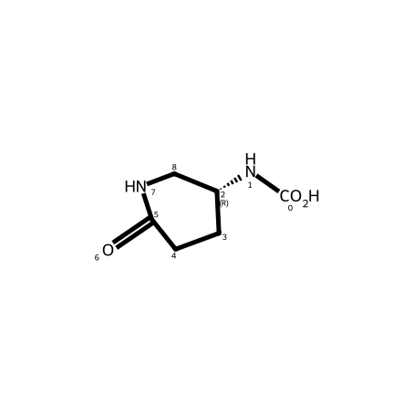 O=C(O)N[C@@H]1CCC(=O)NC1